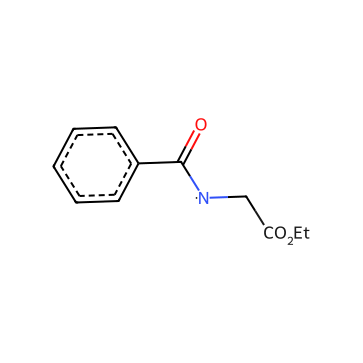 CCOC(=O)C[N]C(=O)c1ccccc1